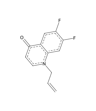 C=CCn1ccc(=O)c2cc(F)c(F)cc21